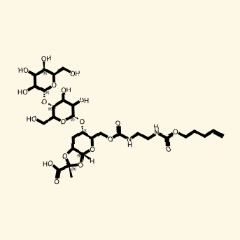 C=CCCCOC(=O)NCCNC(=O)OCC1O[C@@H]2O[C@](C)(C(=O)O)OC2C[C@@H]1O[C@@H]1OC(CO)[C@H](O[C@H]2OC(CO)[C@H](O)C(O)C2O)C(O)C1O